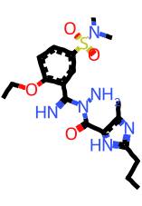 CCCc1nc(C)c(C(=O)N(N)C(=N)c2cc(S(=O)(=O)N(C)C)ccc2OCC)[nH]1